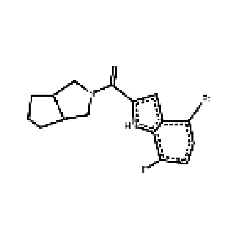 C=C(c1cc2c(CC)ccc(F)c2[nH]1)N1CC2CCCC2C1